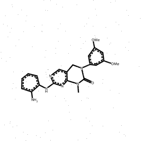 COc1cc(OC)cc(N2Cc3cnc(Nc4ccccc4N)nc3N(C)C2=O)c1